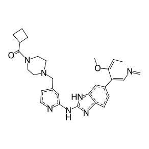 C=N/C=C(\C(=C/C)OC)c1ccc2nc(Nc3cc(CN4CCN(C(=O)C5CCC5)CC4)ccn3)[nH]c2c1